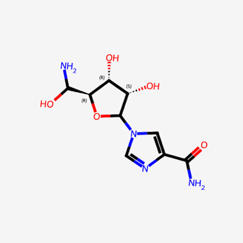 NC(=O)c1cn(C2O[C@@H](C(N)O)[C@H](O)[C@@H]2O)cn1